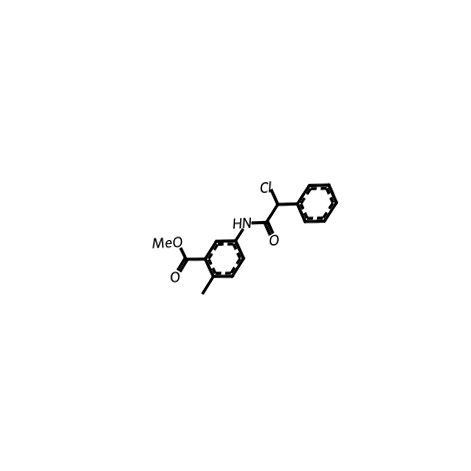 COC(=O)c1cc(NC(=O)C(Cl)c2ccccc2)ccc1C